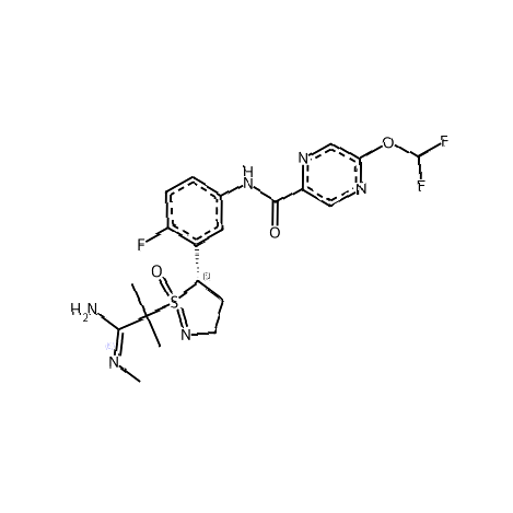 C/N=C(/N)C(C)(C)S1(=O)=NCC[C@H]1c1cc(NC(=O)c2cnc(OC(F)F)cn2)ccc1F